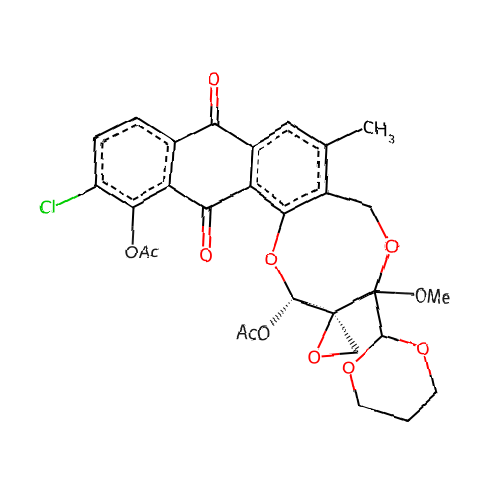 COC1(C2OCCCO2)OCc2c(C)cc3c(c2O[C@@H](OC(C)=O)[C@@]12CO2)C(=O)c1c(ccc(Cl)c1OC(C)=O)C3=O